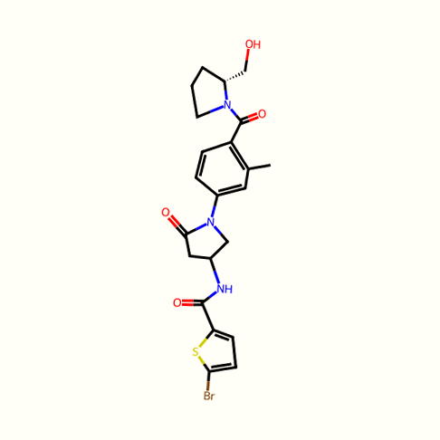 Cc1cc(N2CC(NC(=O)c3ccc(Br)s3)CC2=O)ccc1C(=O)N1CCC[C@@H]1CO